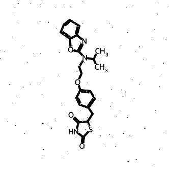 CC(C)N(CCOc1ccc(CC2SC(=O)NC2=O)cc1)c1nc2ccccc2o1